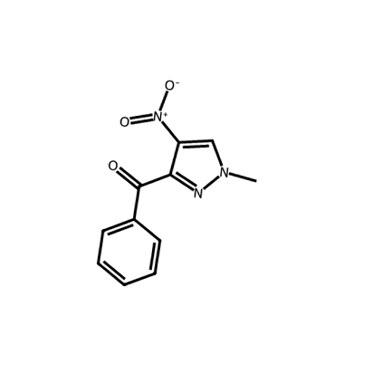 Cn1cc([N+](=O)[O-])c(C(=O)c2ccccc2)n1